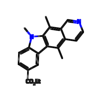 CCOC(=O)c1ccc2c(c1)c1c(C)c3ccncc3c(C)c1n2C